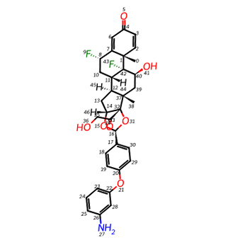 C[C@]12C=CC(=O)C=C1[C@@H](F)C[C@H]1[C@@H]3C[C@H]4O[C@H](c5ccc(Oc6cccc(N)c6)cc5)O[C@@]4(C(=O)CO)[C@@]3(C)C[C@H](O)[C@@]12F